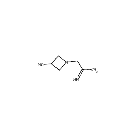 CC(=N)CN1CC(O)C1